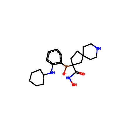 O=C(NO)C1([S+]([O-])c2ccccc2NC2CCCCC2)CCC2(CCNCC2)C1